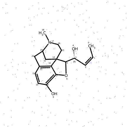 C/C=C\[C@@H](O)C1Oc2c(O)ccc3c2C12CCN(C)C(C3)C2